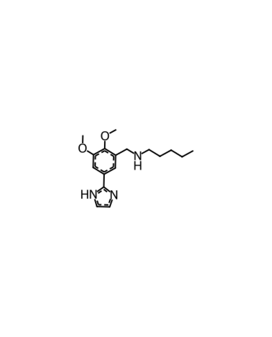 CCCCCNCc1cc(-c2ncc[nH]2)cc(OC)c1OC